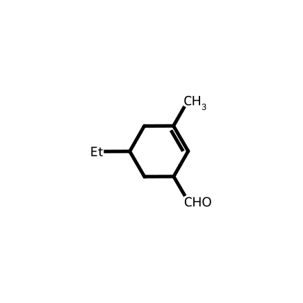 CCC1CC(C)=CC(C=O)C1